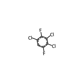 Fc1cc(Cl)c(F)c(Cl)c1Cl